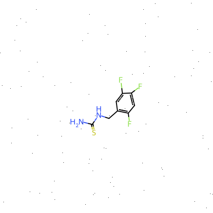 NC(=S)NCc1cc(F)c(F)cc1F